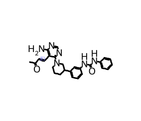 CC(=O)/C=C/c1c(N)ncnc1N1CCCC(c2cccc(NC(=O)Nc3ccccc3)c2)C1